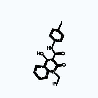 CC(C)Cn1c(=O)c(C(=O)Nc2ccc(I)cc2)c(O)c2ccccc21